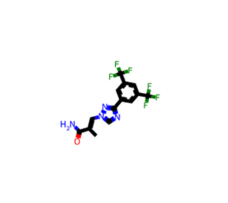 C/C(=C\n1cnc(-c2cc(C(F)(F)F)cc(C(F)(F)F)c2)n1)C(N)=O